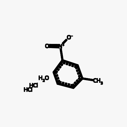 Cc1cccc([N+](=O)[O-])c1.Cl.Cl.O